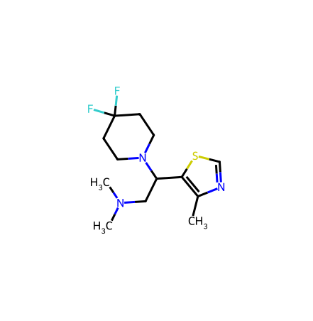 Cc1ncsc1C(CN(C)C)N1CCC(F)(F)CC1